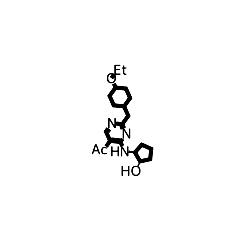 CCOC1CCC(Cc2ncc(C(C)=O)c(N[C@H]3CCC[C@@H]3O)n2)CC1